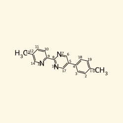 Cc1ccc(-c2cnc(-c3ccc(C)cn3)nc2)cc1